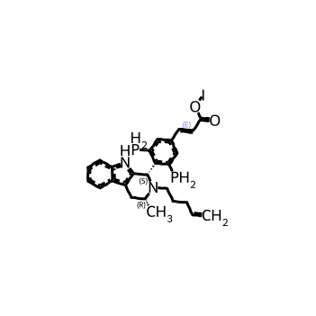 C=CCCCN1[C@@H](c2c(P)cc(/C=C/C(=O)OI)cc2P)c2[nH]c3ccccc3c2C[C@H]1C